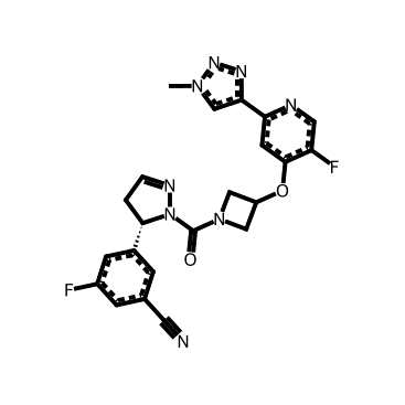 Cn1cc(-c2cc(OC3CN(C(=O)N4N=CC[C@H]4c4cc(F)cc(C#N)c4)C3)c(F)cn2)nn1